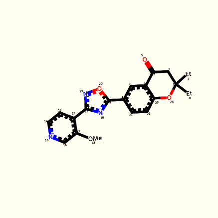 CCC1(CC)CC(=O)c2cc(-c3nc(-c4ccncc4OC)no3)ccc2O1